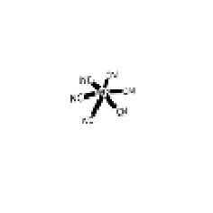 N#[C][Mo]([C]#N)([C]#N)([C]#N)([C]#N)[C]#N